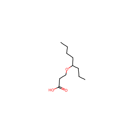 CCCCC(CCC)OCCC(=O)O